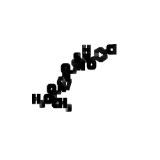 CN(C)C(=O)CN1CCN(C(=O)Cc2csc(NC(=O)c3ccc(Cl)cc3)n2)CC1